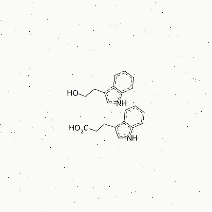 O=C(O)CCc1c[nH]c2ccccc12.OCCc1c[nH]c2ccccc12